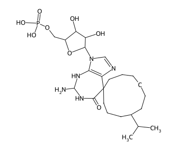 CC(C)C1CCCCCCC2(CCC1)C(=O)NC(N)Nc1c2ncn1C1OC(COP(=O)(O)O)C(O)C1O